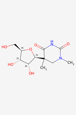 CN1CC(C)([C@@H]2O[C@H](CO)[C@@H](O)[C@H]2O)C(=O)NC1=O